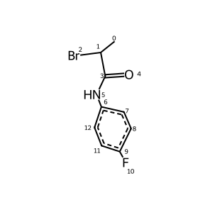 CC(Br)C(=O)Nc1ccc(F)cc1